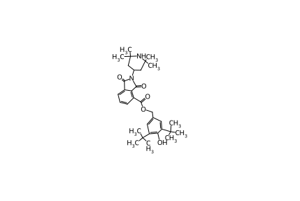 CC1(C)CC(N2C(=O)c3cccc(C(=O)OCc4cc(C(C)(C)C)c(O)c(C(C)(C)C)c4)c3C2=O)CC(C)(C)N1